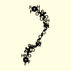 Cc1c(C(=O)C(=O)NCc2cn(CCOCCOCCn3cc(CNC(=O)C(=O)c4c(C)c(C(=O)Nc5ccc(F)c(F)c5)n(C)c4C)nn3)nn2)c(C)n(C)c1C(=O)Nc1ccc(F)c(F)c1